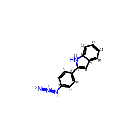 [N-]=[N+]=Nc1ccc(-c2cc3ccccc3[nH]2)cc1